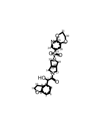 O=C(C(O)c1cccc2c1CCO2)N1CC2=C(C1)CN(S(=O)(=O)c1cnc3c(c1)OCCO3)C2